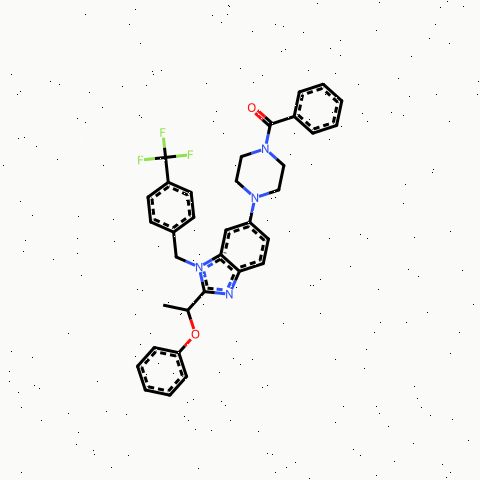 CC(Oc1ccccc1)c1nc2ccc(N3CCN(C(=O)c4ccccc4)CC3)cc2n1Cc1ccc(C(F)(F)F)cc1